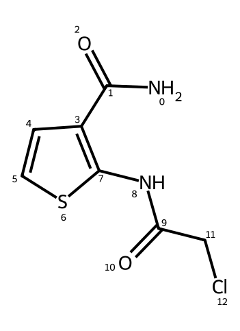 NC(=O)c1ccsc1NC(=O)CCl